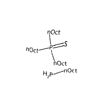 CCCCCCCCP.CCCCCCCCP(=S)(CCCCCCCC)CCCCCCCC